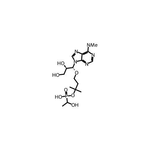 CNc1ncnc2c1ncn2[C@H](OCCC(C)(C)OP(=O)(O)C(C)O)[C@H](O)CO